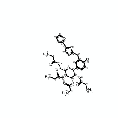 NCC(=O)OC[C@H]1O[C@@H](c2ccc(Cl)c(Cc3ncc(-c4ccco4)s3)c2)[C@H](OC(=O)CN)[C@@H](OC(=O)CN)[C@@H]1OC(=O)CN